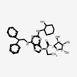 CCN(C(=O)[C@H]1O[C@@H](O)[C@H](O)[C@@H]1O)n1cnc2c(NCC(c3ccccc3)c3ccccc3)nc(NC3CCCCC3O)nc21